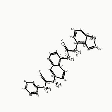 O=C(Nc1cccc2cc(NC(=S)Nc3ccccc3)ccc12)Nc1cccc2[nH]ncc12